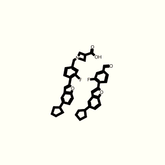 O=C(O)C1CN(Cc2ccc(-c3cc4cc(C5CCCC5)ccc4o3)c(F)c2)C1.O=Cc1ccc(-c2cc3cc(C4CCCC4)ccc3o2)c(F)c1